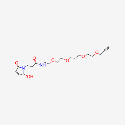 C#CCOCCOCCCOCCOCCNC(=O)CCN1C(=O)C=CC1O